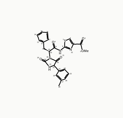 COC(=O)c1csc(NC(=O)[C@H](Cc2ccccc2)N2C(=O)NC(c3cccc(C)c3)C2=O)n1